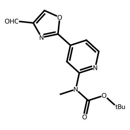 CN(C(=O)OC(C)(C)C)c1cc(-c2nc(C=O)co2)ccn1